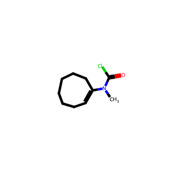 CN(C(=O)Cl)C1=CCCCCCC1